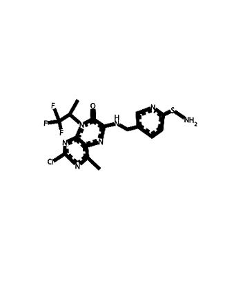 Cc1nc(Cl)nc2c1nc(NCc1ccc(SN)nc1)c(=O)n2C(C)C(F)(F)F